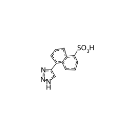 O=S(=O)(O)c1cccc2c(-c3c[nH]nn3)cccc12